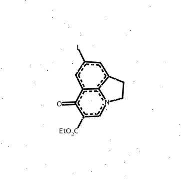 CCOC(=O)c1cn2c3c(cc(I)cc3c1=O)CC2